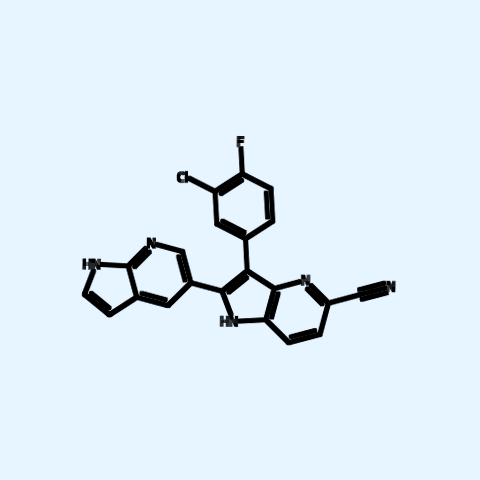 N#Cc1ccc2[nH]c(-c3cnc4[nH]ccc4c3)c(-c3ccc(F)c(Cl)c3)c2n1